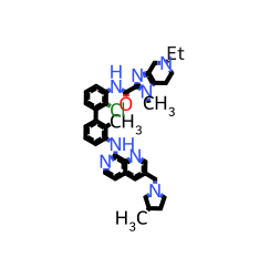 CCN1CCc2c(nc(C(=O)Nc3cccc(-c4cccc(Nc5nccc6cc(CN7CCC(C)C7)cnc56)c4C)c3Cl)n2C)C1